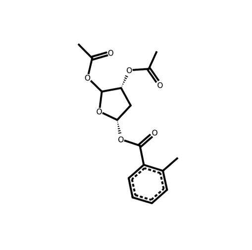 CC(=O)OC1O[C@@H](OC(=O)c2ccccc2C)C[C@H]1OC(C)=O